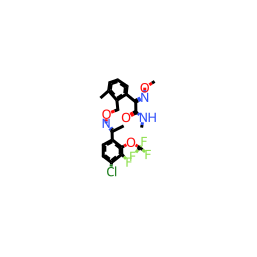 CNC(=O)/C(=N/OC)c1cccc(C)c1CO/N=C(\C)c1ccc(Cl)c(F)c1OC(F)(F)F